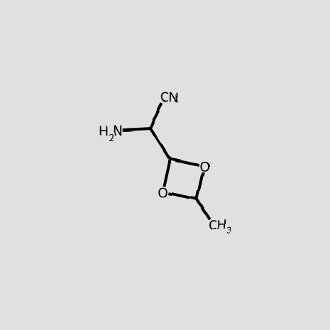 CC1OC(C(N)C#N)O1